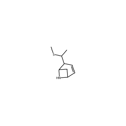 CSC(C)C1C=CC2CC1N2